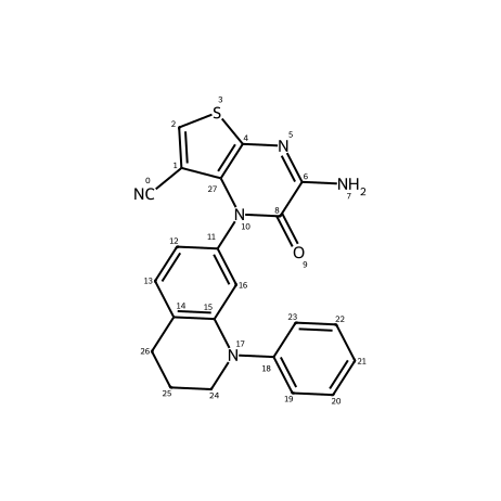 N#Cc1csc2nc(N)c(=O)n(-c3ccc4c(c3)N(c3ccccc3)CCC4)c12